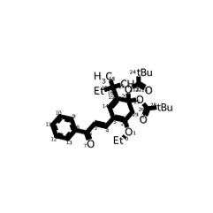 CCOC1=C(C=CC(=O)c2ccccc2)C=C(C(C)(C)CC)C(OC(=O)C(C)(C)C)(OC(=O)C(C)(C)C)C1